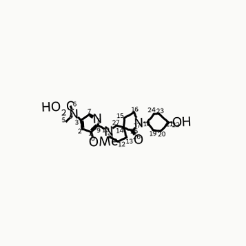 COc1cc(N(C)C(=O)O)cnc1N1CCCC2(CCN([C@H]3CC[C@H](O)CC3)C2=O)C1